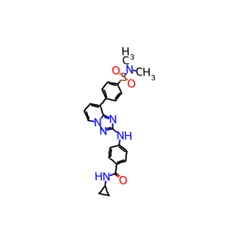 CN(C)S(=O)(=O)c1ccc(-c2cccn3nc(Nc4ccc(C(=O)NC5CC5)cc4)nc23)cc1